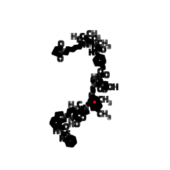 Cc1c(-c2ccc(N3CCc4cccc(C(=O)Nc5nc6ccccc6s5)c4C3)nc2C(=O)O)ccn1CC12CC3(C)CC(C)(C1)CC(OCCN(C)C(=O)[C@H](CC(=O)O)NC(=O)OCc1ccc(NC(=O)[C@H](C)NC(=O)[C@@H](NC(=O)CCCCCN4C(=O)C=CC4=O)C(C)C)cc1)(C3)C2